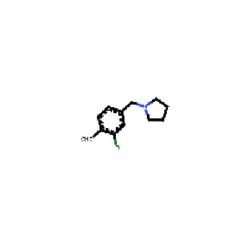 O=Cc1ccc(CN2CCCC2)cc1Cl